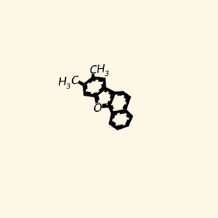 Cc1cc2oc3c4ccccc4ccc3c2cc1C